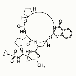 CC[C@@H]1C[C@]1(NC(=O)[C@@H]1C[C@@H]2CN1C(=O)[C@H](C1CCCC1)NC(=O)O[C@@H]1CCC[C@H]1CCCCCn1c(nc3ccccc3c1=O)O2)C(=O)NS(=O)(=O)C1CC1